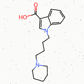 O=C(O)c1cn(CCCCN2CCCCC2)c2ccccc12